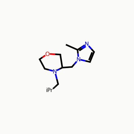 Cc1nccn1CC1COCCN1CC(C)C